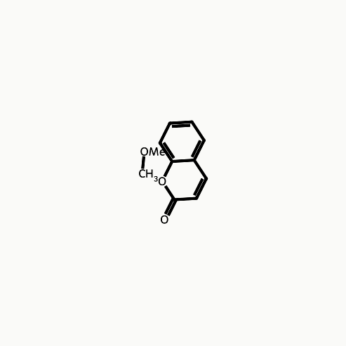 COC.O=c1ccc2ccccc2o1